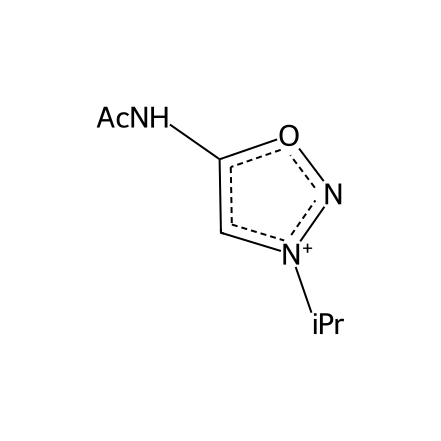 CC(=O)[N-]c1c[n+](C(C)C)no1